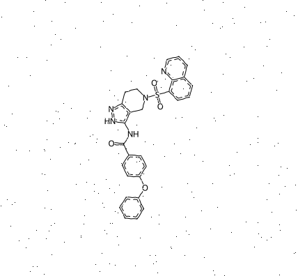 O=C(Nc1[nH]nc2c1CN(S(=O)(=O)c1cccc3cccnc13)CC2)c1ccc(Oc2ccccc2)cc1